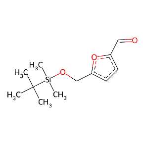 CC(C)(C)[Si](C)(C)OCc1ccc(C=O)o1